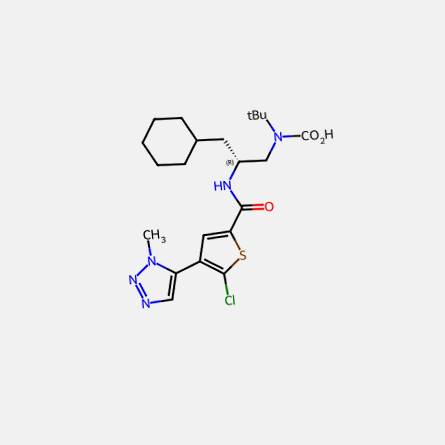 Cn1nncc1-c1cc(C(=O)N[C@H](CC2CCCCC2)CN(C(=O)O)C(C)(C)C)sc1Cl